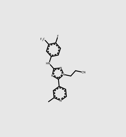 Cc1cc(-c2nc(Nc3ccc(F)c(C(F)(F)F)c3)nn2CCC#N)ccn1